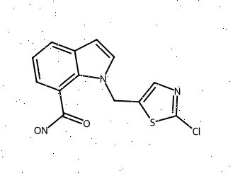 O=NC(=O)c1cccc2ccn(Cc3cnc(Cl)s3)c12